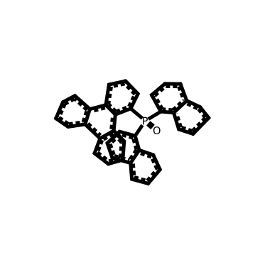 O=P(c1cccc2ccccc12)(c1cccc2ccccc12)c1cccc2c3ccccc3c3ccccc3c12